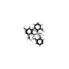 Cc1cc(C)c(P([SiH2]c2ccccc2C)[SiH2]c2ccccc2C)c(C)c1